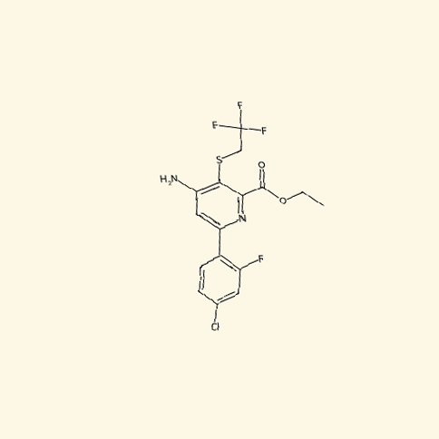 CCOC(=O)c1nc(-c2ccc(Cl)cc2F)cc(N)c1SCC(F)(F)F